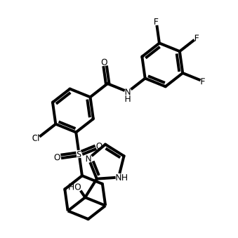 O=C(Nc1cc(F)c(F)c(F)c1)c1ccc(Cl)c(S(=O)(=O)C2CC3CC(C2)C3(O)c2ncc[nH]2)c1